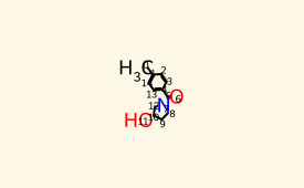 Cc1ccc(C(=O)N2CC[C@H](O)C2)cc1